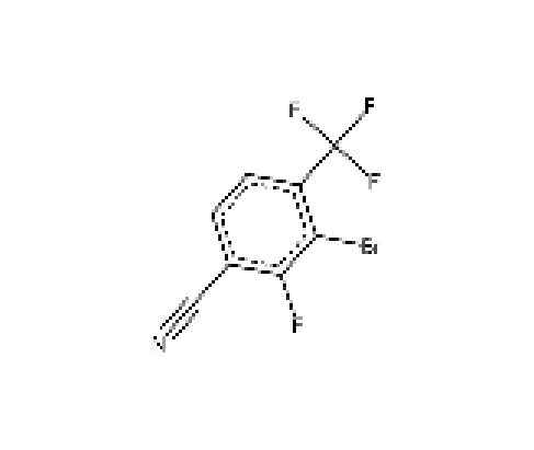 N#Cc1ccc(C(F)(F)F)c(Br)c1F